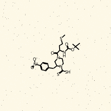 CSCCC(NC(=O)OC(C)(C)C)C(=O)N1CCN(C(=S)S)C(Cc2ccc([N+](=O)[O-])cc2)C1